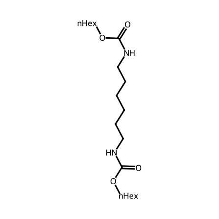 CCCCCCOC(=O)NCCCCCCNC(=O)OCCCCCC